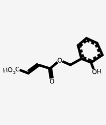 O=C(O)C=CC(=O)OCc1ccccc1O